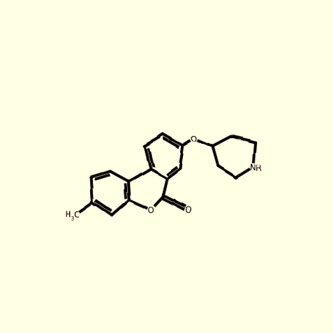 Cc1ccc2c(c1)oc(=O)c1cc(OC3CCNCC3)ccc12